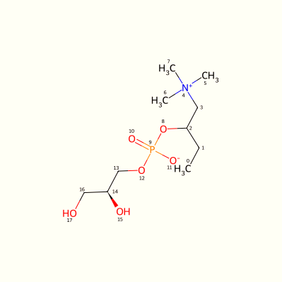 CCC(C[N+](C)(C)C)OP(=O)([O-])OC[C@@H](O)CO